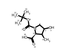 CC1C(O)CN(C(=O)OC(C)(C)C)[C@@H]1C(=O)O